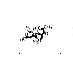 CC(C)C(=O)C(CN)NC(=O)C(CC(=O)O)SS